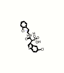 O=C(N/C=C/c1ccccc1Cl)C(c1csc2ccc(Cl)cc12)P(=O)(O)O